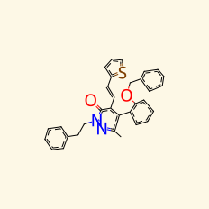 Cc1nn(CCc2ccccc2)c(=O)c(C=Cc2cccs2)c1-c1ccccc1OCc1ccccc1